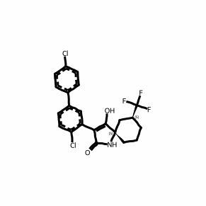 O=C1N[C@]2(CCC[C@H](C(F)(F)F)C2)C(O)=C1c1cc(-c2ccc(Cl)cc2)ccc1Cl